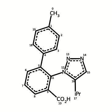 Cc1ccc(-c2cccc(C(=O)O)c2-n2nncc2C(C)C)cc1